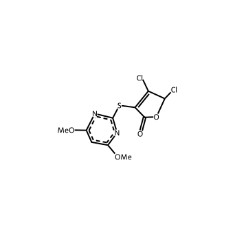 COc1cc(OC)nc(SC2=C(Cl)C(Cl)OC2=O)n1